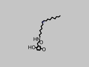 CCCCCCCC/C=C\CCCCCCCNC(=O)Cc1cc(OC)ccc1O